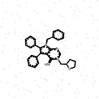 N=c1c2c(-c3ccccc3)c(-c3ccccc3)n(Cc3ccccc3)c2ncn1CC1CCCO1